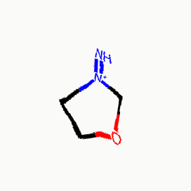 N=[N+]1CCOC1